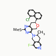 CSc1nc2c(c(N3Cc4c(F)cncc4CC3C)n1)CO[C@H](c1cccc3cccc(Cl)c13)C2